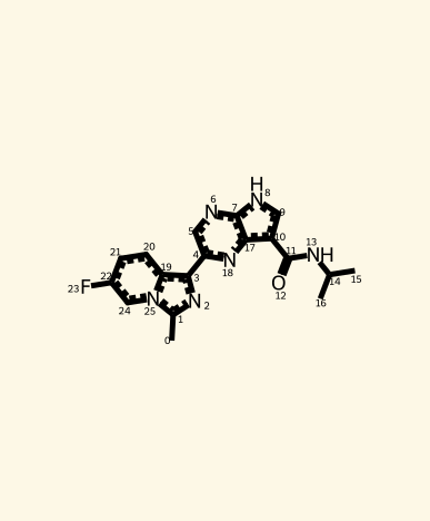 Cc1nc(-c2cnc3[nH]cc(C(=O)NC(C)C)c3n2)c2ccc(F)cn12